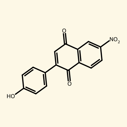 O=C1C=C(c2ccc(O)cc2)C(=O)c2ccc([N+](=O)[O-])cc21